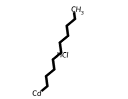 CCCCCCCCC[CH2][Cd].Cl